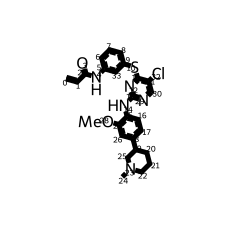 C=CC(=O)Nc1cccc(Sc2nc(Nc3ccc(C4CCCN(C)C4)cc3OC)ncc2Cl)c1